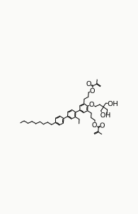 C=C(C)C(=O)OCCCc1cc(-c2ccc(-c3ccc(CCCCCCCCC)cc3)cc2CC)cc(CCCOC(=O)C(=C)C)c1OCCC(CC)(CO)CO